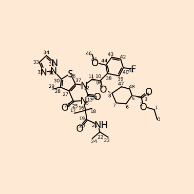 CCOC(=O)[C@H]1CC[C@H](O[C@@H](Cn2c(=O)n(C(C)(C)C(=O)NC(C)C)c(=O)c3c(C)c(-n4nccn4)sc32)c2cc(F)ccc2OC)CC1